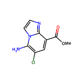 COC(=O)c1cc(Cl)c(N)n2ccnc12